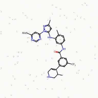 CNc1cc(-n2nc(C)cc2Nc2cc(NC(=O)c3cc(C4=CCNCC4C)cc(C(F)(F)F)c3)ccc2C)ncn1